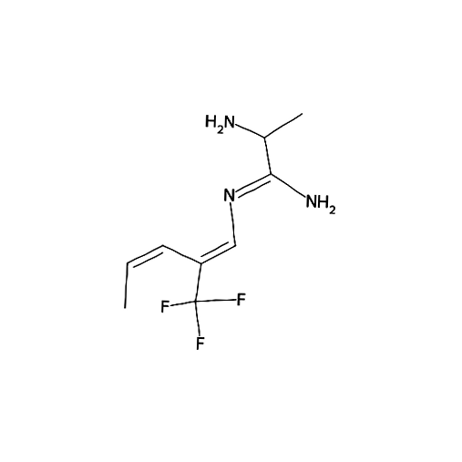 C\C=C/C(=C\N=C(/N)C(C)N)C(F)(F)F